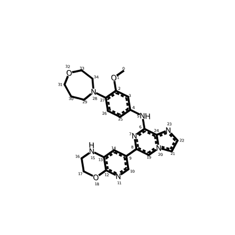 COc1cc(Nc2nc(-c3cnc4c(c3)NCCO4)cn3ccnc23)ccc1N1CCCOCC1